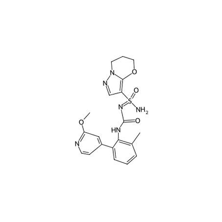 COc1cc(-c2cccc(C)c2NC(=O)N=S(N)(=O)c2cnn3c2OCCC3)ccn1